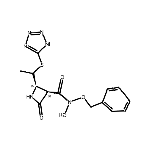 CC(Sc1nnn[nH]1)[C@@H]1NC(=O)[C@@H]1C(=O)N(O)OCc1ccccc1